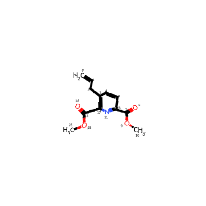 C=CCc1ccc(C(=O)OC)nc1C(=O)OC